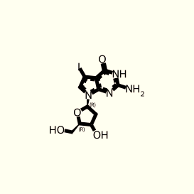 Nc1nc2c(c(I)cn2[C@H]2CC(O)[C@@H](CO)O2)c(=O)[nH]1